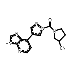 N#CC1CCN(C(=O)n2cc(-c3ccnc4[nH]cnc34)cn2)C1